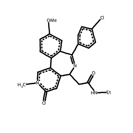 CCNC(=O)CC1N=C(c2ccc(Cl)cc2)c2cc(OC)ccc2-c2cn(C)c(=O)cc21